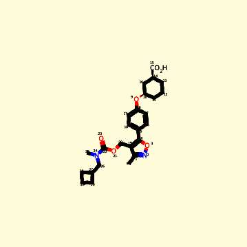 Cc1noc(-c2ccc(O[C@H]3CCC[C@H](C(=O)O)C3)cc2)c1COC(=O)N(C)CC1CCC1